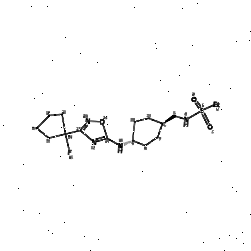 CCS(=O)(=O)NC[C@H]1CC[C@H](Nc2nc(C3(F)CCCC3)no2)CC1